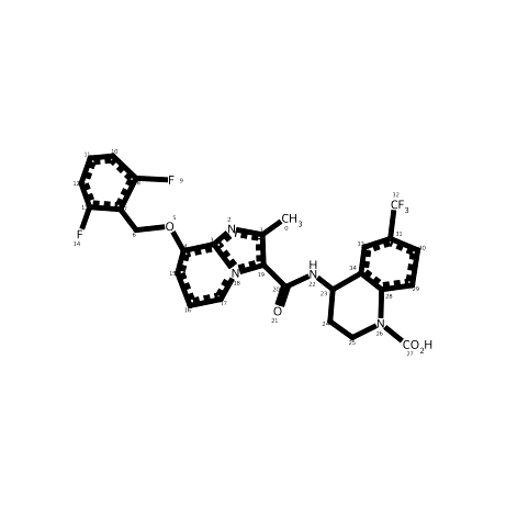 Cc1nc2c(OCc3c(F)cccc3F)cccn2c1C(=O)NC1CCN(C(=O)O)c2ccc(C(F)(F)F)cc21